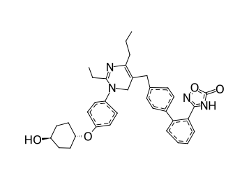 CCCC1=C(Cc2ccc(-c3ccccc3-c3noc(=O)[nH]3)cc2)CN(c2ccc(O[C@H]3CC[C@H](O)CC3)cc2)C(CC)=N1